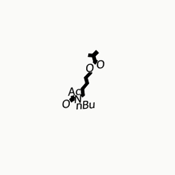 C=C(C)C(=O)OCCCCCN(CCCC)C(=O)C(C)=O